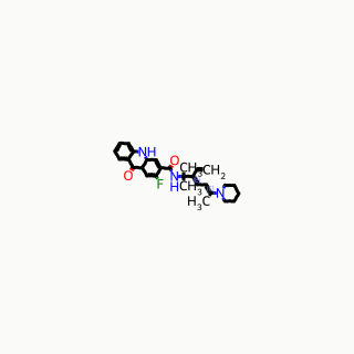 C=C/C(=C\C=C(/C)N1CCCCC1)C(C)(C)NC(=O)C1=CC2Nc3ccccc3C(=O)C2C=C1F